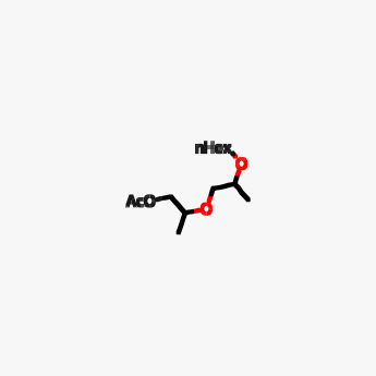 CCCCCCOC(C)COC(C)COC(C)=O